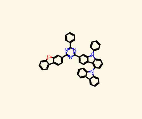 c1ccc(-c2nc(-c3ccc4c(c3)oc3ccccc34)nc(-c3ccc4c5c(-n6c7ccccc7c7ccccc76)cccc5n(-c5ccccc5)c4c3)n2)cc1